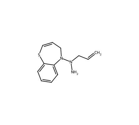 C=CCN(N)N1CC=CSc2ccccc21